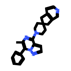 Cc1nc(N2CCC3(CC2)Cc2ccncc2C3)c2ccnn2c1-c1ccccc1